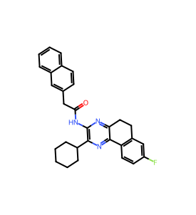 O=C(Cc1ccc2ccccc2c1)Nc1nc2c(nc1C1CCCCC1)-c1ccc(F)cc1CC2